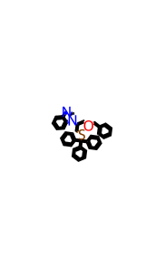 c1ccc(COCC(CSC(c2ccccc2)(c2ccccc2)c2ccccc2)n2cnc3ccccc32)cc1